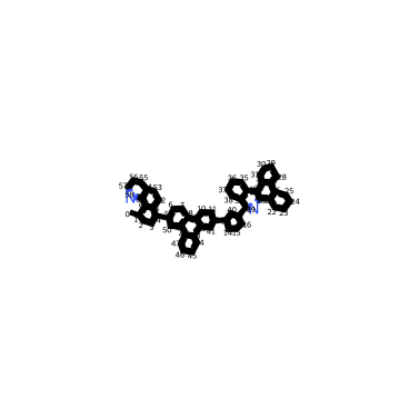 Cc1ccc(-c2ccc3c4ccc(-c5cccc(-c6nc7c8ccccc8c8ccccc8c7c7ccccc67)c5)cc4c4ccccc4c3c2)c2ccc3cccnc3c12